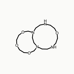 C1COCCNCCN2CCN(CCN1)COCCOCCOC2